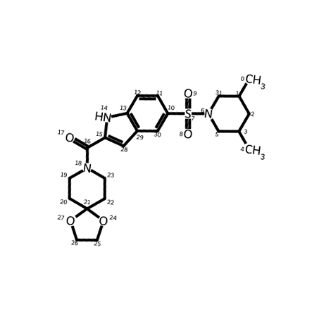 CC1CC(C)CN(S(=O)(=O)c2ccc3[nH]c(C(=O)N4CCC5(CC4)OCCO5)cc3c2)C1